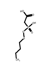 CCCCSOP(=O)(O)CC(=O)O